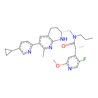 CCCN(C[C@H]1CCc2cc(-c3ccc(C4CC4)cn3)c(C)nc2N1)C(=O)[C@H](C)c1cc(OC)ncc1F